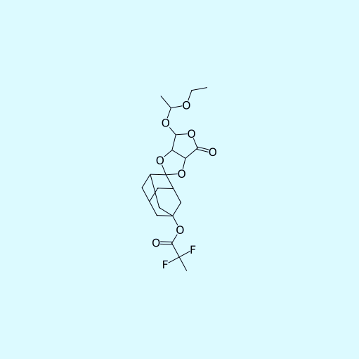 CCOC(C)OC1OC(=O)C2OC3(OC12)C1CC2CC3CC(OC(=O)C(C)(F)F)(C2)C1